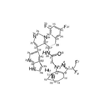 O=C(Cn1nc(C(F)F)c2c1[C@@H]1C[C@@H]1CC2)N[C@@H](Cc1cc(F)cc(F)c1)c1ncncc1-c1cnc2[nH]ccc2c1